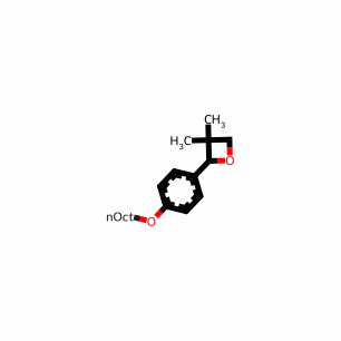 CCCCCCCCOc1ccc(C2OCC2(C)C)cc1